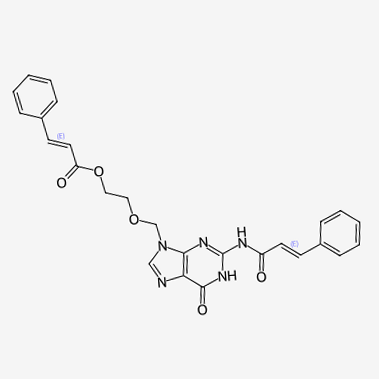 O=C(/C=C/c1ccccc1)Nc1nc2c(ncn2COCCOC(=O)/C=C/c2ccccc2)c(=O)[nH]1